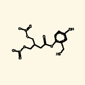 O=C(CC(CO[N+](=O)[O-])CO[N+](=O)[O-])Oc1ccc(O)cc1CS